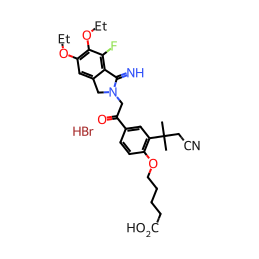 Br.CCOc1cc2c(c(F)c1OCC)C(=N)N(CC(=O)c1ccc(OCCCCC(=O)O)c(C(C)(C)CC#N)c1)C2